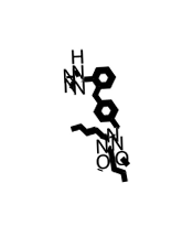 CCC=Cc1nc(C(CCC)(OC)OC)nn1Cc1ccc(Cc2ccccc2-c2nnn[nH]2)cc1